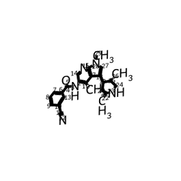 Cc1c(NC(=O)c2cccc(C#N)c2)cnc2c1c(C1CC(C)NCC1C)cn2C